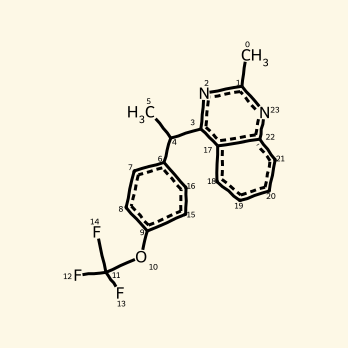 Cc1nc(C(C)c2ccc(OC(F)(F)F)cc2)c2ccccc2n1